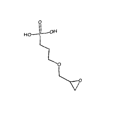 O=P(O)(O)CCCOCC1CO1